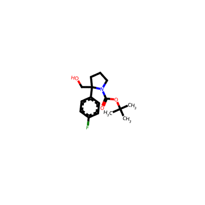 CC(C)(C)OC(=O)N1CCCC1(CO)c1ccc(F)cc1